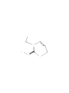 CCOC(=O)CN1C=CCNC1=NC#N